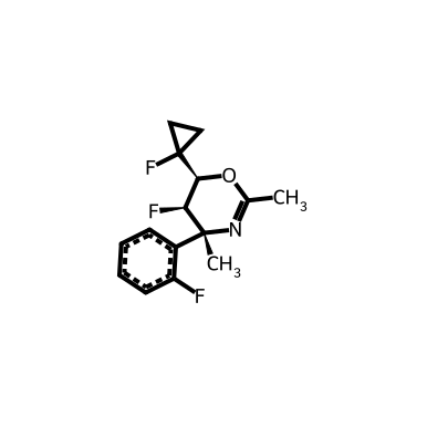 CC1=N[C@](C)(c2ccccc2F)[C@@H](F)[C@@H](C2(F)CC2)O1